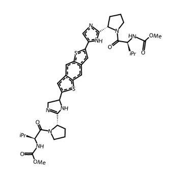 COC(=O)N[C@H](C(=O)N1CCC[C@H]1C1=NCC(c2cc3cc4sc(-c5cnc([C@@H]6CCCN6C(=O)[C@@H](NC(=O)OC)C(C)C)[nH]5)cc4cc3s2)N1)C(C)C